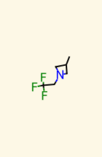 CC1CN(CC(F)(F)F)C1